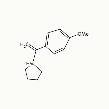 C=C(c1ccc(OC)cc1)[SiH]1CCCC1